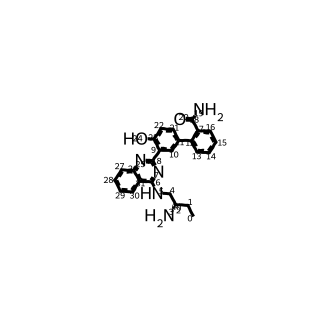 CC[C@@H](N)CNc1nc(-c2cc(-c3ccccc3C(N)=O)ccc2O)nc2ccccc12